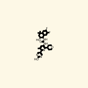 Cc1cc(NC(=O)NC2c3cc(F)c(F)cc3C(C)(C)C[C@H]2O)c(C2CCOCC2)nc1-c1cnc(O)nc1